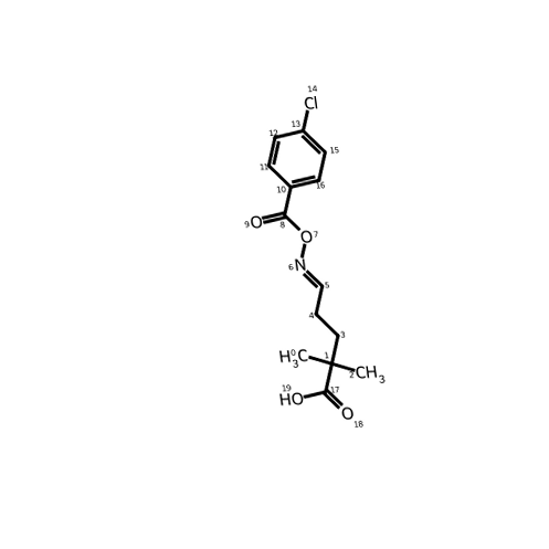 CC(C)(CCC=NOC(=O)c1ccc(Cl)cc1)C(=O)O